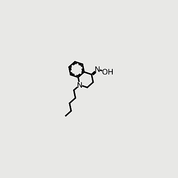 CCCCCN1CC/C(=N\O)c2ccccc21